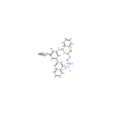 Cc1c(CN2CC(CCN[C@H](C)c3cccc4ccccc34)Oc3ccccc32)cccc1C(=O)O.Cl